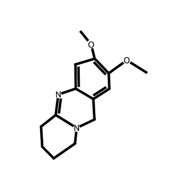 COc1cc2c(cc1OC)N=C1CCCCN1C2